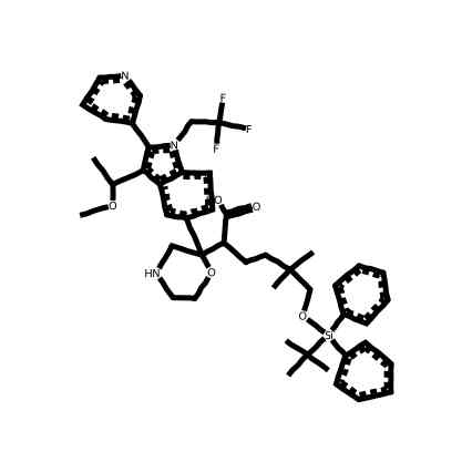 COC(C)c1c(-c2cccnc2)n(CC(F)(F)F)c2ccc(C3(C(CCC(C)(C)CO[Si](c4ccccc4)(c4ccccc4)C(C)(C)C)C(=O)O)CNCCO3)cc12